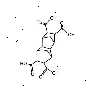 O=C(O)C1C2CCC(C1C(=O)O)C1C3CC(C(C(=O)O)C3C(=O)O)C21